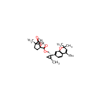 C[C@H]1C[C@@]1(COC(=O)C12CCC(C)(C(=O)O1)C2(C)C)c1ccc2c(c1)OC(C)(C)C=C2C(C)(C)C